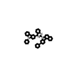 c1ccc(-c2ccc3c4c5ccccc5ccc4n(-c4nc(-c5ccc6c(c5)c5ccccc5n6-c5ccccc5)c5ccccc5n4)c3c2)cc1